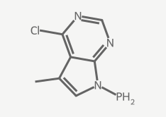 Cc1cn(P)c2ncnc(Cl)c12